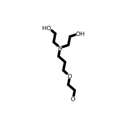 [O]CCOCCCN(CCO)CCO